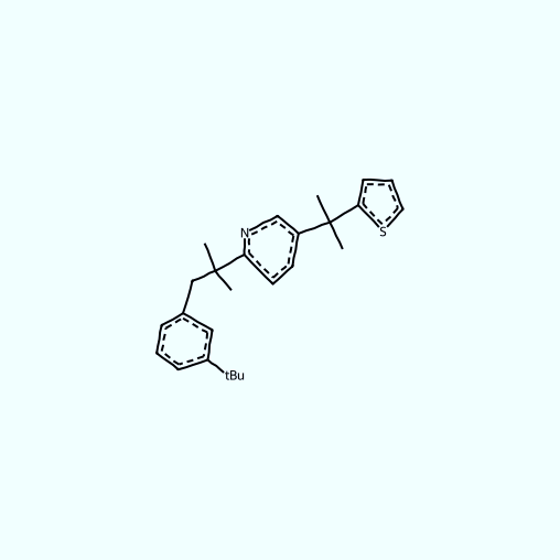 CC(C)(C)c1cccc(CC(C)(C)c2ccc(C(C)(C)c3cccs3)cn2)c1